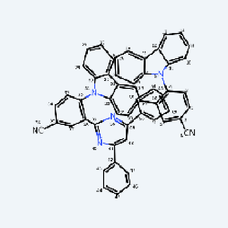 N#Cc1ccc(-n2c3ccccc3c3ccccc32)c(-c2ccc3c(c2)c2ccccc2n3-c2ccc(C#N)cc2-c2nc(-c3ccccc3)cc(-c3ccccc3)n2)c1